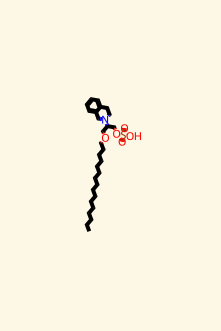 CCCCCCCCCCCCCCCCOCC(COS(=O)(=O)O)N1CCc2ccccc2C1